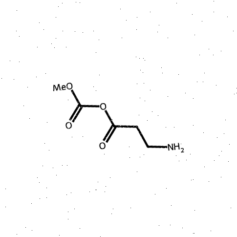 COC(=O)OC(=O)CCN